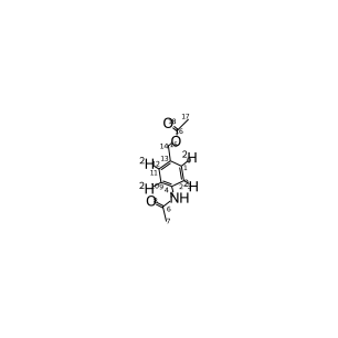 [2H]c1c([2H])c(NC(C)=O)c([2H])c([2H])c1COC(C)=O